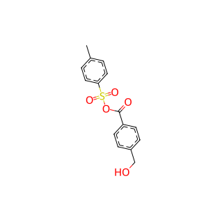 Cc1ccc(S(=O)(=O)OC(=O)c2ccc(CO)cc2)cc1